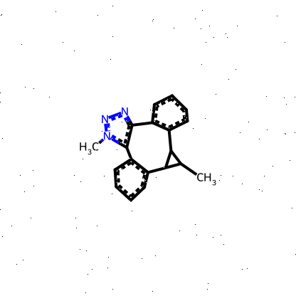 CC1C2c3ccccc3-c3nnn(C)c3-c3ccccc3C12